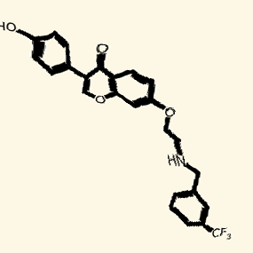 O=c1c(-c2ccc(O)cc2)coc2cc(OCCNCc3cccc(C(F)(F)F)c3)ccc12